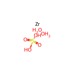 O.O.O=S(=O)(O)O.[Zr]